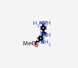 COC(=O)CCc1ccc(-c2nc(-c3ccc(C(=N)N)cc3)c[nH]2)cc1N